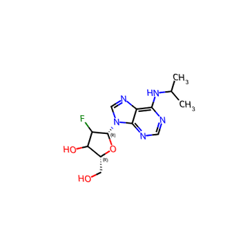 CC(C)Nc1ncnc2c1ncn2[C@@H]1O[C@H](CO)C(O)C1F